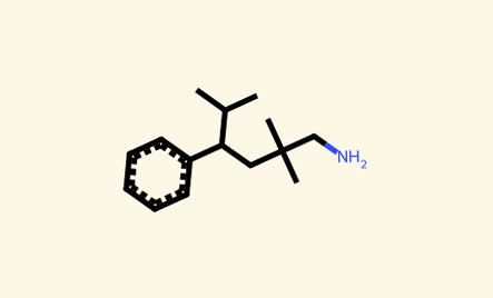 CC(C)C(CC(C)(C)CN)c1ccccc1